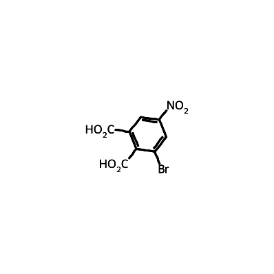 O=C(O)c1cc([N+](=O)[O-])cc(Br)c1C(=O)O